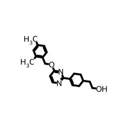 Cc1ccc(COc2ccnc(C3=CCC(CCO)CC3)n2)c(C)c1